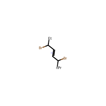 CCCC(Br)/C=C/C(Br)CC